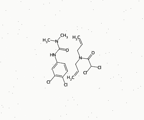 C=CCN(CC=C)C(=O)C(Cl)Cl.CN(C)C(=O)Nc1ccc(Cl)c(Cl)c1